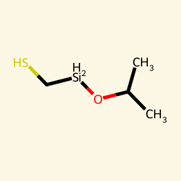 CC(C)O[SiH2]CS